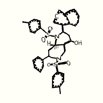 Cc1ccc(S(=O)(=O)N2CC3=C(O)CC(c4cccc5ccccc45)N(S(=O)(=O)c4ccc(C)cc4)[C@H]3CC2c2ccccc2)cc1